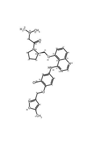 Cc1cc(COc2ccc(Nc3ncnc4cccc(OC[C@H]5CCCN5C(=O)CN(C)C)c34)cc2Cl)no1